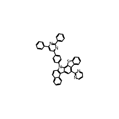 c1ccc(-c2cc(-c3ccc(-n4c5ccc6ccccc6c5c5cc(-c6ncccn6)c6c7ccccc7sc6c54)cc3)nc(-c3ccccc3)n2)cc1